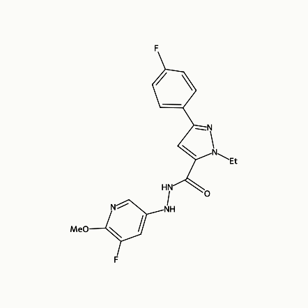 CCn1nc(-c2ccc(F)cc2)cc1C(=O)NNc1cnc(OC)c(F)c1